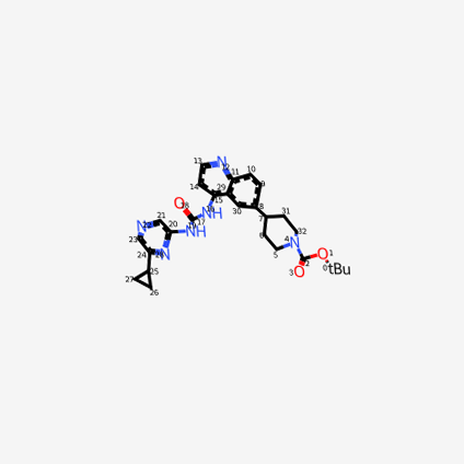 CC(C)(C)OC(=O)N1CCC(c2ccc3nccc(NC(=O)Nc4cncc(C5CC5)n4)c3c2)CC1